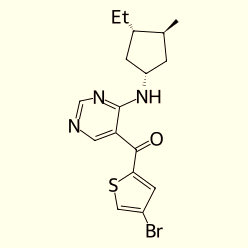 CC[C@H]1C[C@@H](Nc2ncncc2C(=O)c2cc(Br)cs2)C[C@@H]1C